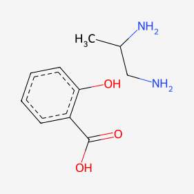 CC(N)CN.O=C(O)c1ccccc1O